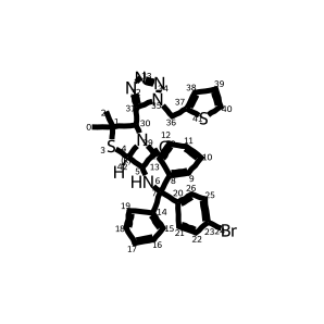 CC1(C)S[C@@H]2C(NC(c3ccccc3)(c3ccccc3)c3ccc(Br)cc3)C(=O)N2C1c1nnnn1Cc1cccs1